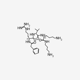 CC(C)C(NC(=O)[C@H](CCCNC(=N)N)NC(=O)Cc1ccccc1)C(=O)N[C@@H](CCCCN)C(=O)NCCCCN